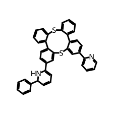 C1=CC(c2ccccc2)NC(c2ccc3c(c2)Sc2cc(-c4ccccn4)ccc2-c2ccccc2Sc2ccccc2-3)=C1